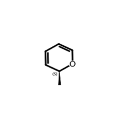 C[C@H]1C=CC=CO1